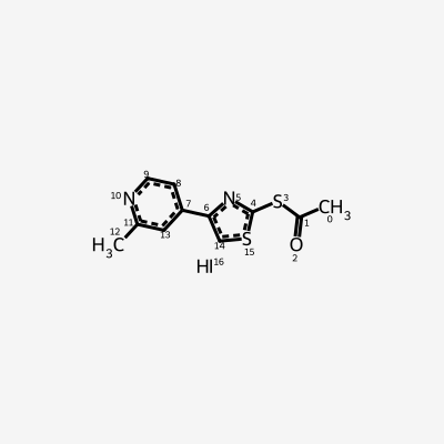 CC(=O)Sc1nc(-c2ccnc(C)c2)cs1.I